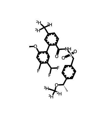 [2H]C([2H])([2H])O[C@@H](C)c1ccc(CS(=O)(=O)NC(=O)c2ccc(C([2H])([2H])[2H])cc2-c2cc(C(F)F)c(F)cc2OC)cc1